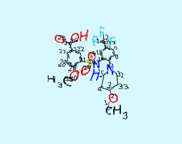 CCOC1CCN(c2ccc(C(F)(F)F)cc2NS(=O)(=O)c2cc(C(=O)O)ccc2OC)CC1